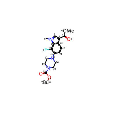 COC(=O)c1cn(C)c2c(F)c(N3CCN(C(=O)OC(C)(C)C)CC3)ccc12